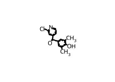 Cc1cc(C(=O)c2ccnc(Cl)c2)cc(C)c1O